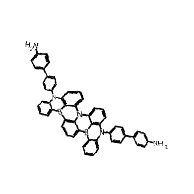 Nc1ccc(-c2ccc(N3c4ccccc4B4c5cccc6c5N(c5cccc3c54)c3cccc4c3B6c3ccccc3N4c3ccc(-c4ccc(N)cc4)cc3)cc2)cc1